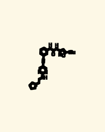 CC(C)(C)c1cc(NC(=O)Nc2cccc(C#Cc3cnc(NCCN4CCCC4)nc3)c2)no1